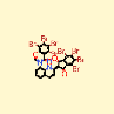 O=CN(C(=O)c1cc(Br)c(Br)c(Br)c1Br)c1cccc2c1NC(=C1C(=O)c3c(Br)c(Br)c(Br)c(Br)c3C1=O)C=C2